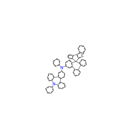 c1ccc(N(c2ccc3c(c2)-c2ccccc2N(c2ccccc2)c2ccccc2-3)c2ccc3c(c2)-c2ccccc2-c2ccccc2C32c3ccccc3-c3c2ccc2ccccc32)cc1